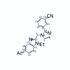 CCn1c(Cn2ccnc2-c2cccc(C#N)c2)nc2cc(C(C)=O)ccc21